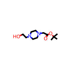 CC(C)(C)OC(=O)CN1CCN(CCO)CC1